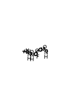 Cn1nc(C(C)(C)C)cc1NC(=O)Nc1cc(F)cc(OC2CCN(C(=O)c3cc[nH]c3)CC2)c1